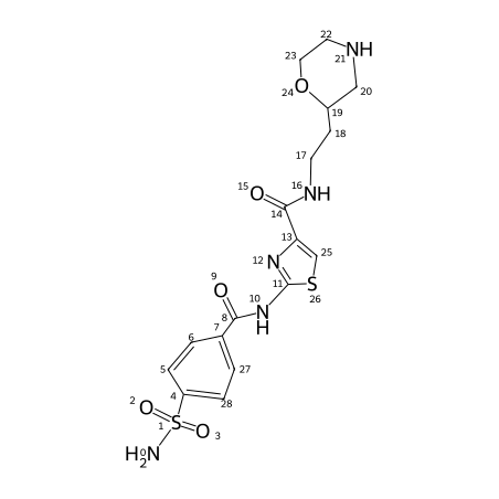 NS(=O)(=O)c1ccc(C(=O)Nc2nc(C(=O)NCCC3CNCCO3)cs2)cc1